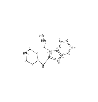 Br.Br.Cn1c(NC2CCNCC2)nc2cncnc21